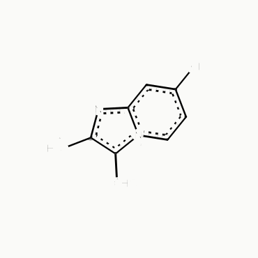 Cc1ccn2c(C=O)c(C)nc2c1